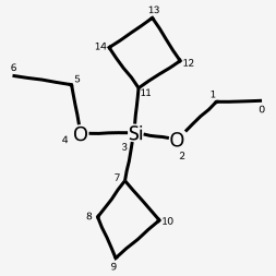 CCO[Si](OCC)(C1CCC1)C1CCC1